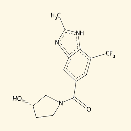 Cc1nc2cc(C(=O)N3CC[C@H](O)C3)cc(C(F)(F)F)c2[nH]1